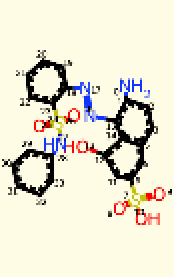 Nc1ccc2cc(S(=O)(=O)O)cc(O)c2c1N=Nc1ccccc1S(=O)(=O)Nc1ccccc1